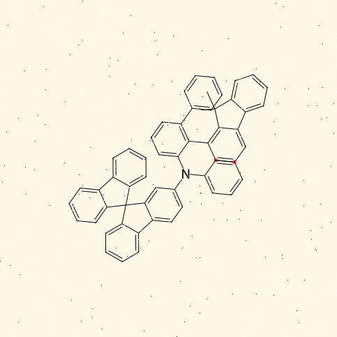 CC1(C)c2ccccc2-c2cccc(-c3c(-c4ccccc4)cccc3N(c3ccccc3)c3ccc4c(c3)C3(c5ccccc5-c5ccccc53)c3ccccc3-4)c21